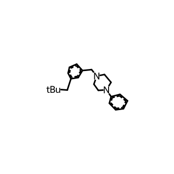 CC(C)(C)Cc1cccc(CN2CCN(c3ccccc3)CC2)c1